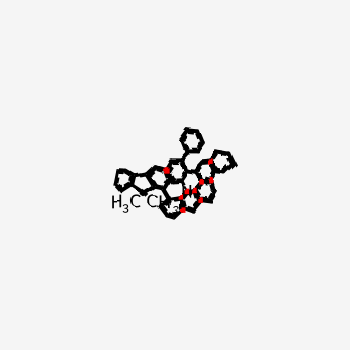 CC1(C)c2ccccc2-c2cccc(-c3ccccc3N(c3cccc(-c4ccccc4)c3)c3cccc(-c4ccccc4)c3-c3ccccc3-c3ccccc3)c21